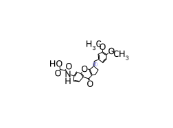 COc1ccc(/C=C2\CCc3c2oc2cc(NC(=O)C(=O)O)ccc2c3=O)cc1OC